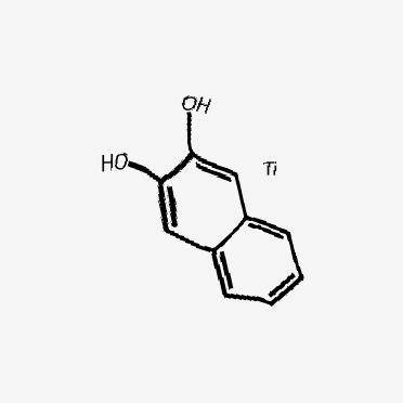 Oc1cc2ccccc2cc1O.[Ti]